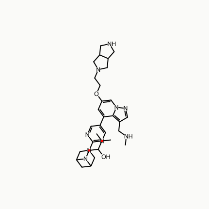 CNCc1cnn2cc(OCCN3CC4CNCC4C3)cc(-c3cnc(N4CC5CC(C4)N5CC(O)C(C)C)nc3)c12